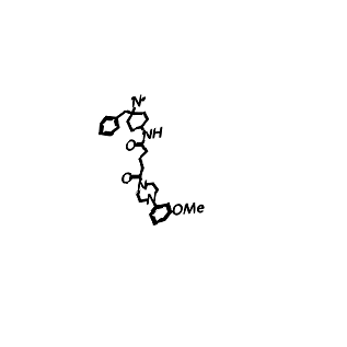 COc1cccc(N2CCN(C(=O)CCCC(=O)NC3CCC(Cc4ccccc4)(N(C)C)CC3)CC2)c1